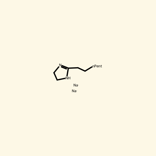 CCCCCCCC1=NCCN1.[Na].[Na]